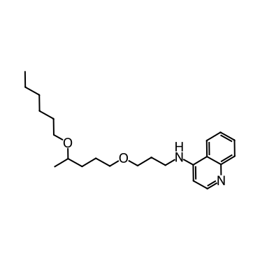 CCCCCCOC(C)CCCOCCCNc1ccnc2ccccc12